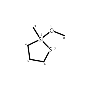 CO[Si]1(C)CCCS1